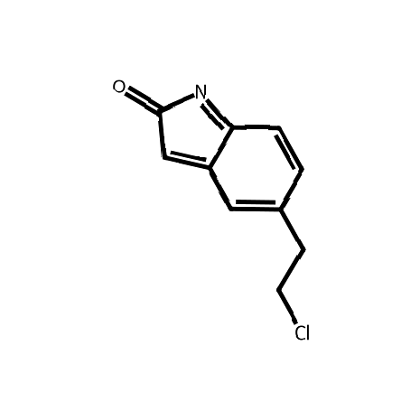 O=C1C=c2cc(CCCl)ccc2=N1